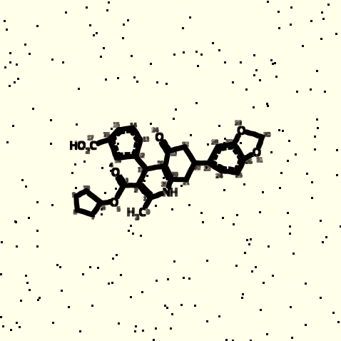 CC1=C(C(=O)OC2CCCC2)C(c2cccc(C(=O)O)c2)C2=C(CC(c3ccc4c(c3)OCO4)CC2=O)N1